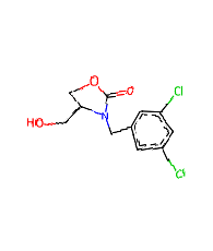 O=C1OCC(CO)N1Cc1cc(Cl)cc(Cl)c1